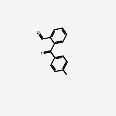 O=Cc1ccccc1C(=O)c1ccc(F)cc1